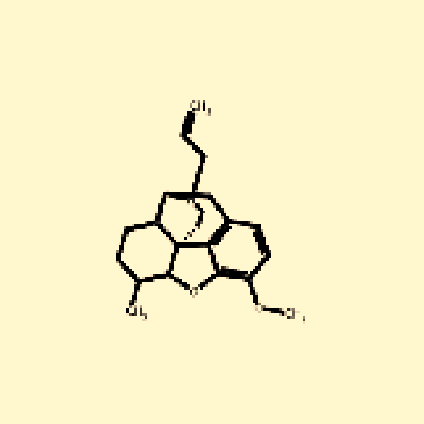 C=CCN1CC[C@]23c4c5ccc(OC)c4OC2C(C)CCC3C1C5